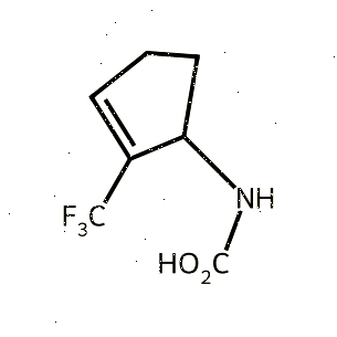 O=C(O)NC1CCC=C1C(F)(F)F